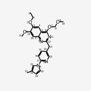 CCOc1cc2c(OCOC)nc(Cc3ccc(-n4ccc(C)c4)nc3)nc2cc1OC